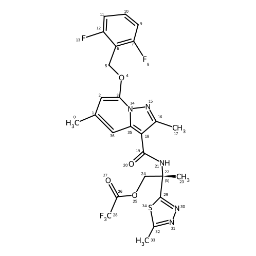 Cc1cc(OCc2c(F)cccc2F)n2nc(C)c(C(=O)N[C@@](C)(COC(=O)C(F)(F)F)c3nnc(C)s3)c2c1